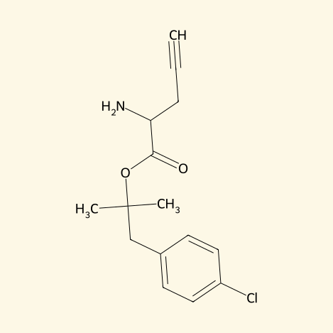 C#CCC(N)C(=O)OC(C)(C)Cc1ccc(Cl)cc1